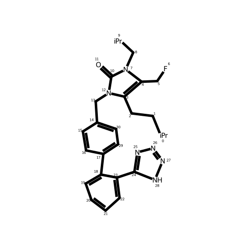 CC(C)CCc1c(CF)n(CC(C)C)c(=O)n1Cc1ccc(-c2ccccc2-c2nnn[nH]2)cc1